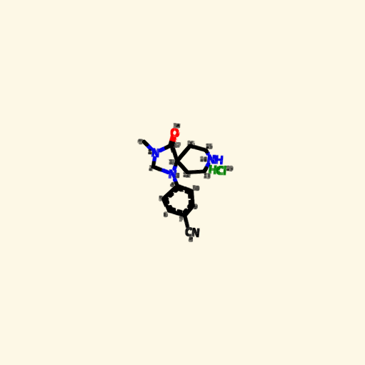 CN1CN(c2ccc(C#N)cc2)C2(CCNCC2)C1=O.Cl